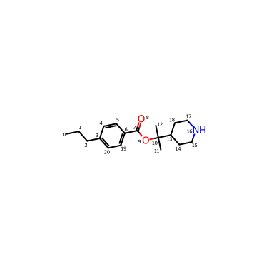 CCCc1ccc(C(=O)OC(C)(C)C2CCNCC2)cc1